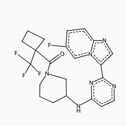 O=C(N1CCCC(Nc2ccnc(-c3cnc4ccc(F)cn34)n2)C1)C1(C(F)(F)F)CCC1